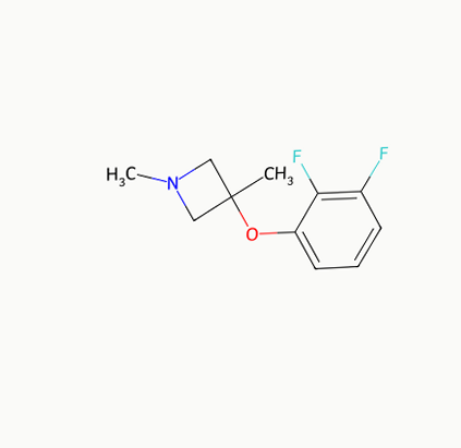 CN1CC(C)(Oc2cccc(F)c2F)C1